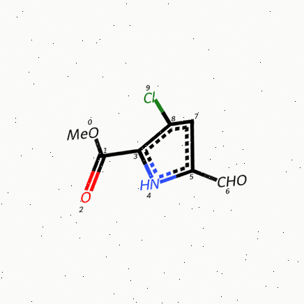 COC(=O)c1[nH]c(C=O)cc1Cl